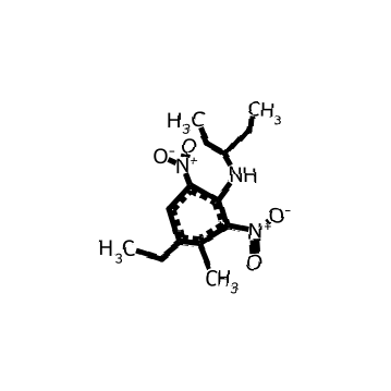 CCc1cc([N+](=O)[O-])c(NC(CC)CC)c([N+](=O)[O-])c1C